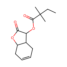 CCC(C)(C)C(=O)OC1C(=O)OC2CC=CCC21